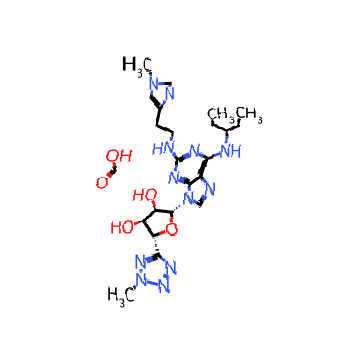 CCC(CC)Nc1nc(NCCc2cn(C)cn2)nc2c1ncn2[C@@H]1O[C@H](c2nnn(C)n2)[C@@H](O)[C@H]1O.O=CO